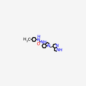 Cc1ccc(NC(=O)Nc2cccc3c2ccn3Cc2ccnc3[nH]ccc23)cc1